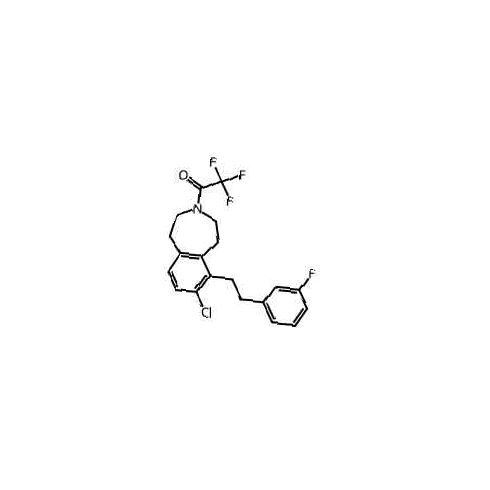 O=C(N1CCc2ccc(Cl)c(CCc3cccc(F)c3)c2CC1)C(F)(F)F